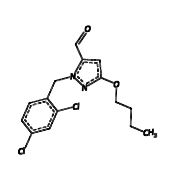 CCCCOc1cc(C=O)n(Cc2ccc(Cl)cc2Cl)n1